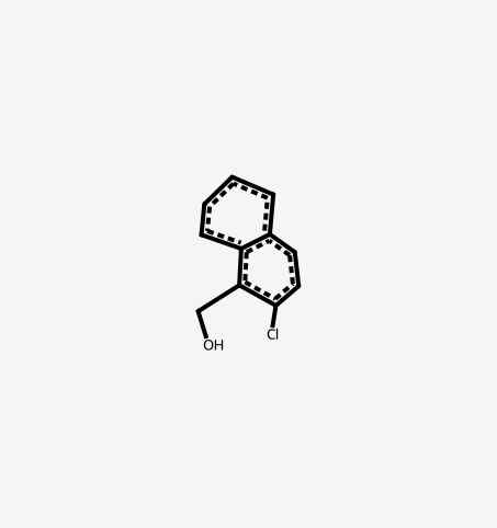 OCc1c(Cl)ccc2ccccc12